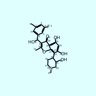 Cc1cc(F)cc(C(O)c2c(C)oc3c(C4CCN(C)CC4O)c(O)cc(O)c3c2=O)c1